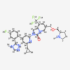 CN1CCC[C@@H]1COCc1cc(C(F)(F)F)c2cn(-c3cc(-c4ccc(F)cc4-c4nncn4C)cc(C4CC4)n3)c(=O)n2c1